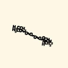 CC(C)(C)NC(=O)COCCOCCOCCOCCCOC(C)(C)C